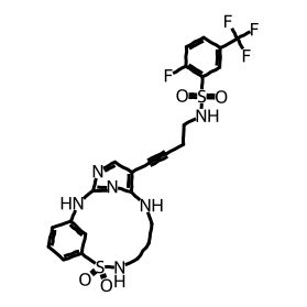 O=S1(=O)NCCCNc2nc(ncc2C#CCCNS(=O)(=O)c2cc(C(F)(F)F)ccc2F)Nc2cccc1c2